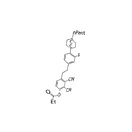 CCCCCC12CCC(c3ccc(CCc4ccc(OC(=O)CC)c(C#N)c4C#N)cc3F)(CC1)CC2